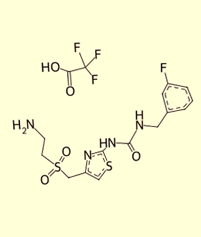 NCCS(=O)(=O)Cc1csc(NC(=O)NCc2cccc(F)c2)n1.O=C(O)C(F)(F)F